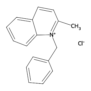 Cc1ccc2ccccc2[n+]1Cc1ccccc1.[Cl-]